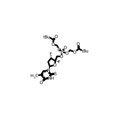 Cc1cn([C@H]2C[C@H](F)[C@@](F)(COP(=O)(OCOC(=O)C(C)(C)C)OCOC(=O)C(C)(C)C)O2)c(=S)[nH]c1=O